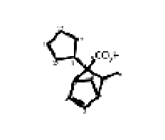 CC1C2C=CC(C2)C1(C(=O)O)C1CCCC1